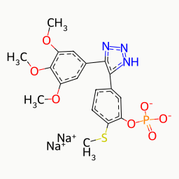 COc1cc(-c2nn[nH]c2-c2ccc(SC)c(OP(=O)([O-])[O-])c2)cc(OC)c1OC.[Na+].[Na+]